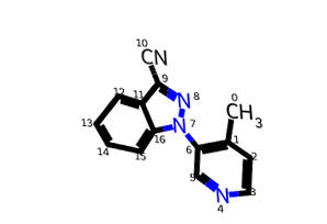 Cc1ccncc1-n1nc(C#N)c2ccccc21